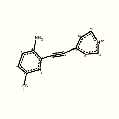 N#Cc1ccc(N)c(C#Cc2ccncc2)n1